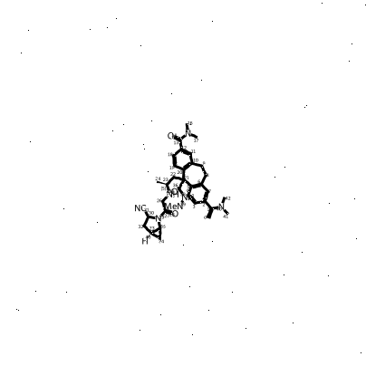 C=C(c1ccc2c(c1)CCc1cc(C(=O)N(C)C)ccc1C2(C[C@H](C)NCC(=O)N1C(C#N)C[C@@H]2CC21)C(=O)NNC)N(C)C